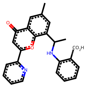 Cc1cc(C(C)Nc2ccccc2C(=O)O)c2oc(-c3ccccn3)cc(=O)c2c1